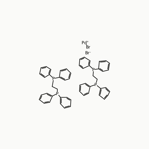 [Br-].[Br][Pd+].c1ccc(P(CCP(c2ccccc2)c2ccccc2)c2ccccc2)cc1.c1ccc(P(CCP(c2ccccc2)c2ccccc2)c2ccccc2)cc1